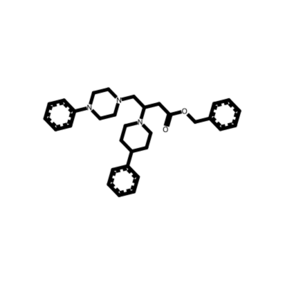 O=C(CC(CN1CCN(c2ccccc2)CC1)N1CCC(c2ccccc2)CC1)OCc1ccccc1